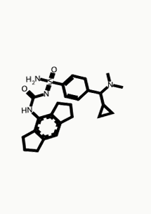 CN(C)C(C1C=CC(S(N)(=O)=NC(=O)Nc2c3c(cc4c2CCC4)CCC3)=CC1)C1CC1